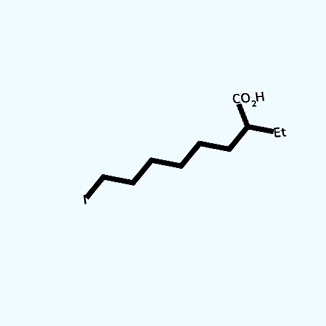 CCC(CCCCCCI)C(=O)O